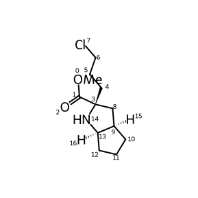 COC(=O)[C@]1(CCCCl)C[C@H]2CCC[C@H]2N1